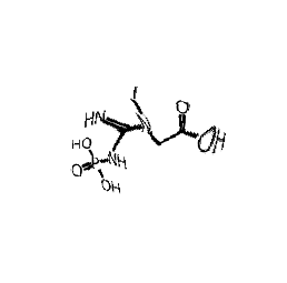 N=C(NP(=O)(O)O)N(I)CC(=O)O